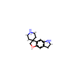 c1c2c(cc3c1OCC31CCNCC1)NCC2